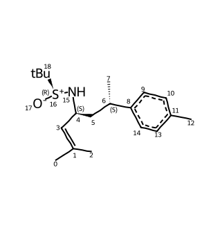 CC(C)=C[C@H](C[C@H](C)c1ccc(C)cc1)N[S@@+]([O-])C(C)(C)C